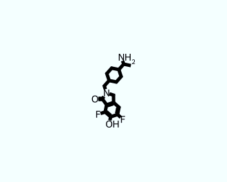 CC(N)C1CCC(CN2Cc3cc(F)c(O)c(F)c3C2=O)CC1